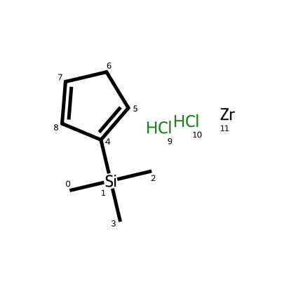 C[Si](C)(C)C1=CCC=C1.Cl.Cl.[Zr]